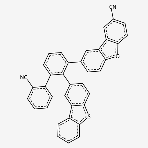 N#Cc1ccc2oc3ccc(-c4cccc(-c5ccccc5C#N)c4-c4ccc5sc6ccccc6c5c4)cc3c2c1